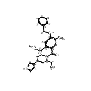 COc1cc(C(=O)N2CCC(c3ccsc3)=CC2CO)c(NC(=O)O)cc1OCc1ccccc1